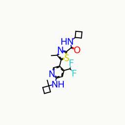 Cc1nc(C(=O)NC2CCC2)sc1-c1cnc(NC2(C)CCC2)cc1C(F)F